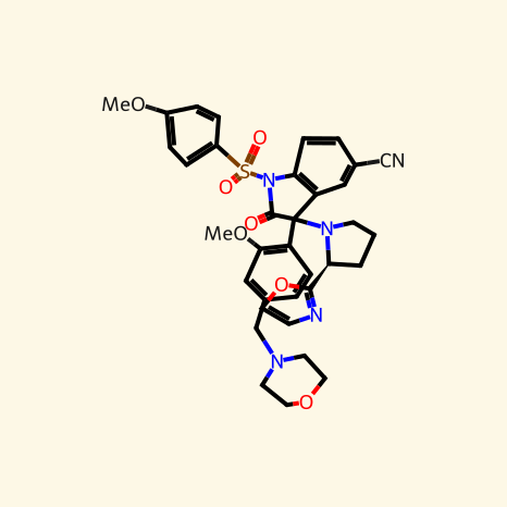 COc1ccc(S(=O)(=O)N2C(=O)C(c3ccc(CN4CCOCC4)cc3OC)(N3CCC[C@H]3c3ncco3)c3cc(C#N)ccc32)cc1